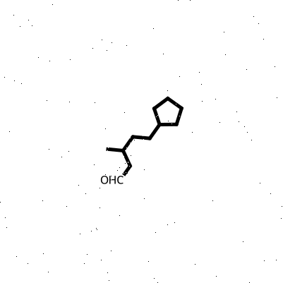 CC(CC=O)CCC1CCCC1